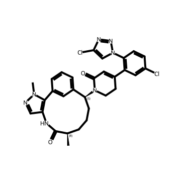 C[C@@H]1CCC[C@H](N2CCC(c3cc(Cl)ccc3-n3cc(Cl)nn3)=CC2=O)c2cccc(c2)-c2c(cnn2C)NC1=O